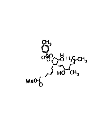 COC(=O)CCC/C=C\C[C@@H]1[C@@H](/C=C/[C@H](O)C(C)CC=C(C)C)[C@H](O)C[C@H]1OS(=O)(=O)c1ccc(C)cc1